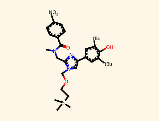 CN(Cc1nc(-c2cc(C(C)(C)C)c(O)c(C(C)(C)C)c2)cn1COCC[Si](C)(C)C)C(=O)c1ccc([N+](=O)[O-])cc1